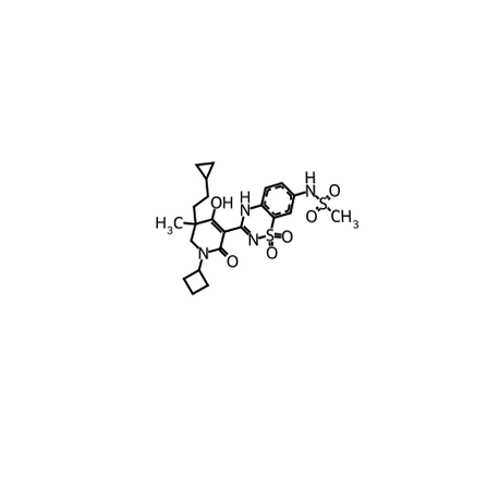 CC1(CCC2CC2)CN(C2CCC2)C(=O)C(C2=NS(=O)(=O)c3cc(NS(C)(=O)=O)ccc3N2)=C1O